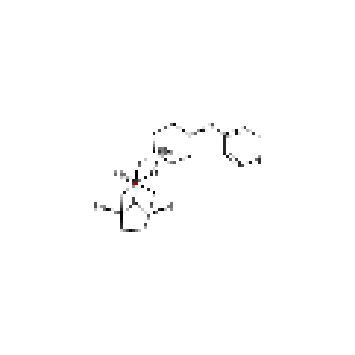 CC(C)(C)OC(=O)N1[C@@H]2CC[C@H]1C[C@H](O[C@H]1CC[C@H](Oc3ccncc3)CC1)C2